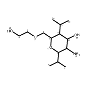 CC(C)C1OC(COCCO)C(C(C)C)C(O)C1N